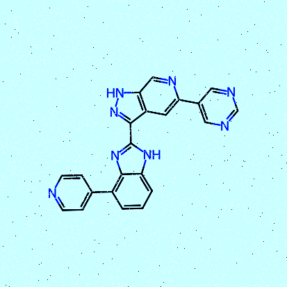 c1cc(-c2ccncc2)c2nc(-c3n[nH]c4cnc(-c5cncnc5)cc34)[nH]c2c1